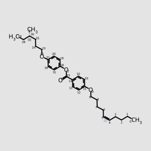 CCCC/C=C\CCCCOc1ccc(C(=O)Oc2ccc(OCCC[C@@H](C)CC)cc2)cc1